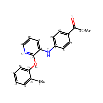 COC(=O)c1ccc(Nc2cccnc2Oc2ccccc2C(C)(C)C)cc1